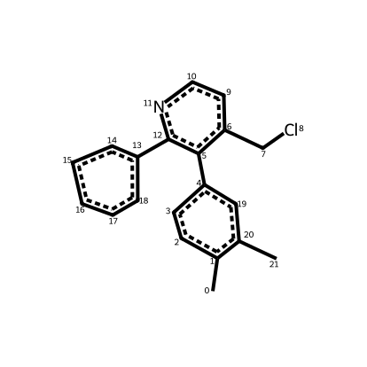 Cc1ccc(-c2c(CCl)ccnc2-c2ccccc2)cc1C